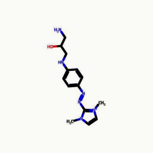 Cn1cc[n+](C)c1/N=N/c1ccc(NCC(O)CN)cc1